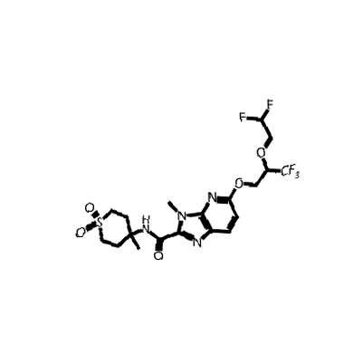 Cn1c(C(=O)NC2(C)CCS(=O)(=O)CC2)nc2ccc(OCC(OCC(F)F)C(F)(F)F)nc21